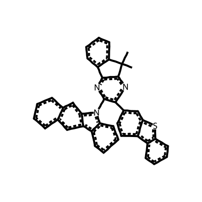 CC1(C)c2ccccc2-c2nc(-n3c4ccccc4c4cc5ccccc5cc43)c(-c3ccc4c(c3)sc3ccccc34)nc21